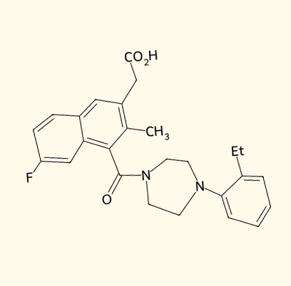 CCc1ccccc1N1CCN(C(=O)c2c(C)c(CC(=O)O)cc3ccc(F)cc23)CC1